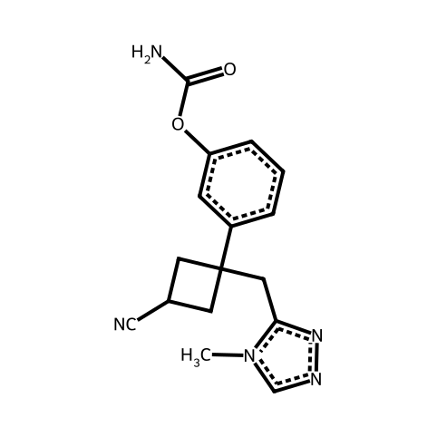 Cn1cnnc1CC1(c2cccc(OC(N)=O)c2)CC(C#N)C1